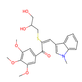 COc1cc(C(=O)/C(=C\c2cn(C)c3ccccc23)SCC(O)CO)cc(OC)c1OC